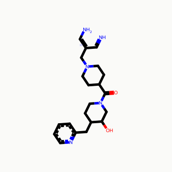 N=C/C(=C\N)CN1CCC(C(=O)N2CCC(Cc3ccccn3)C(O)C2)CC1